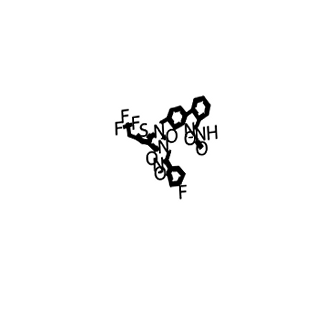 O=c1[nH]c(-c2ccccc2-c2ccc(Cn3c(=O)n(Cc4noc5cc(F)ccc45)c(=O)c4cc(CC(F)(F)F)sc43)cc2)no1